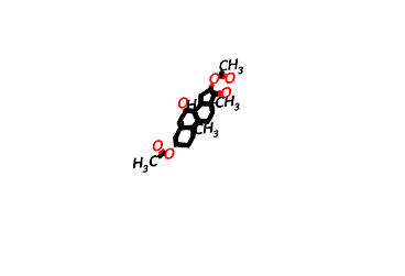 CC(=O)OC1CC2[C@@H]3C(=O)C=C4C[C@@H](OC(C)=O)CC[C@]4(C)C3CC[C@]2(C)C1=O